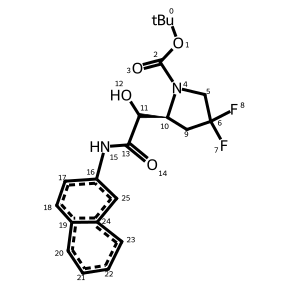 CC(C)(C)OC(=O)N1CC(F)(F)C[C@H]1C(O)C(=O)Nc1ccc2ccccc2c1